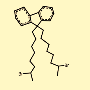 CC(Br)CCCCCCC1(CCCCCCC(C)Br)c2ccccc2-c2ccccc21